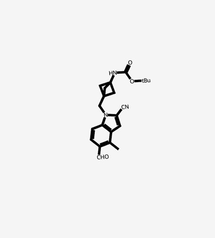 Cc1c(C=O)ccc2c1cc(C#N)n2CC12CC(NC(=O)OC(C)(C)C)(C1)C2